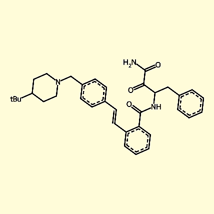 CC(C)(C)C1CCN(Cc2ccc(C=Cc3ccccc3C(=O)NC(Cc3ccccc3)C(=O)C(N)=O)cc2)CC1